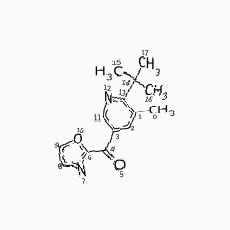 Cc1cc(C(=O)c2ncco2)cnc1C(C)(C)C